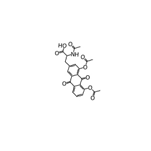 CC(=O)NC(Cc1cc(OC(C)=O)c2c(c1)C(=O)c1cccc(OC(C)=O)c1C2=O)C(=O)O